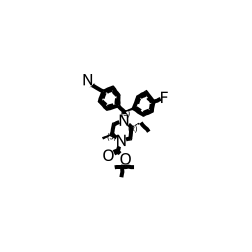 CC[C@@H]1CN(C(=O)OC(C)(C)C)[C@@H](C)CN1[C@H](c1ccc(F)cc1)c1ccc(C#N)cc1